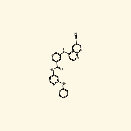 N#Cc1ccc2nccc(Nc3cccc(C(=O)Nc4ccnc(Nc5ccccc5)c4)c3)c2c1